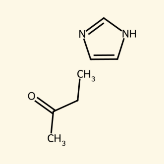 CCC(C)=O.c1c[nH]cn1